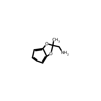 CC1(CN)Oc2ccccc2O1